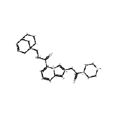 O=C(NCC12CC=CC(CCC1)C2)c1cccc2nc(CC(=O)N3CCOCC3)cn12